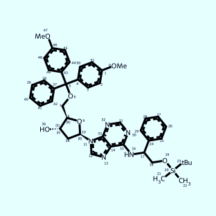 COc1ccc(C(OC[C@H]2O[C@@H](n3cnc4c(NC(CO[Si](C)(C)C(C)(C)C)c5ccccc5)ncnc43)C[C@@H]2O)(c2ccccc2)c2ccc(OC)cc2)cc1